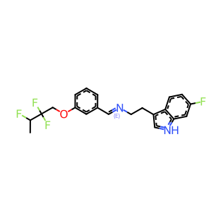 CC(F)C(F)(F)COc1cccc(/C=N/CCc2c[nH]c3cc(F)ccc23)c1